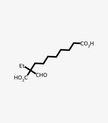 CCC(C=O)(CCCCCCCC(=O)O)C(=O)O